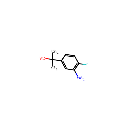 CC(O)(c1ccc(F)c(N)c1)C(F)(F)F